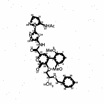 COc1cccc(OC)c1-c1cc(C(=O)Nc2nnc(-n3nccc3NC(C)=O)s2)oc(=O)c1OC[C@@H](C)OCc1ccccc1